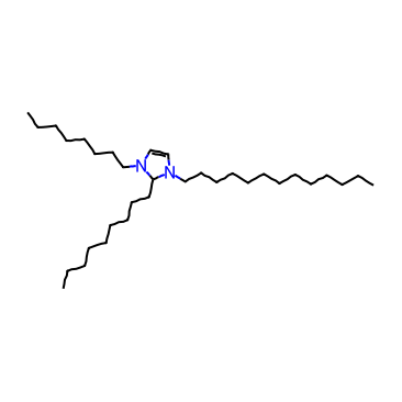 CCCCCCCCCCCCCN1C=CN(CCCCCCCC)C1CCCCCCCCC